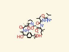 CC[C@H](C)[C@@H]([C@@H](CC(=O)N1CCC[C@H]1[C@@H](OC)[C@@H](C)C(=O)N[C@H](C)[C@@H](O)c1ccc([Si](C)(C)O)cc1)OC)N(C)C(=O)[C@@H](NC(=O)[C@H](C(C)C)N(C)C)C(C)C